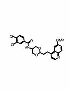 COc1ccc2nccc(CCC3OCC(NC(=O)c4ccc(Cl)c(Cl)c4)CO3)c2c1